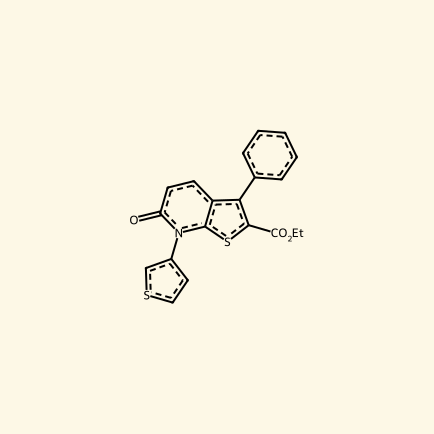 CCOC(=O)c1sc2c(ccc(=O)n2-c2ccsc2)c1-c1ccccc1